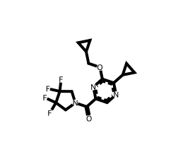 O=C(c1cnc(C2CC2)c(OCC2CC2)n1)N1CC(F)(F)C(F)(F)C1